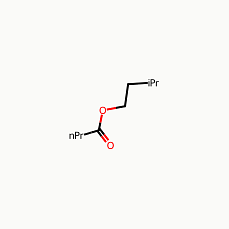 CCCC(=O)OCCC(C)C